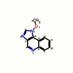 COn1cnc2cnc3ccccc3c21